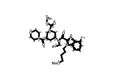 COCCCCn1c(C(=O)N(CC(C)C)[C@H]2C[C@@H](C(=O)N3CCOCC3)CN(C(=O)OC(C)(C)C)C2)nc2c(F)cccc21